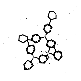 CS1(C)c2ccccc2-c2ccc(N(c3ccc(C4CCCCC4)cc3)c3ccc(C4(c5ccc(N(c6ccccc6)c6ccccc6)cc5)CCCCC4)cc3)cc21